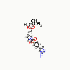 CC(C)(C)OC(=O)C=Cc1ccn(S(=O)(=O)c2ccc(-c3cn[nH]c3)cc2)c1